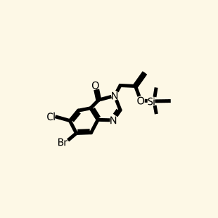 C=C(Cn1cnc2cc(Br)c(Cl)cc2c1=O)O[Si](C)(C)C